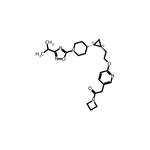 CC(C)c1noc(N2CCC([C@@H]3C[C@H]3CCOc3ccc(CC(=O)N4CCC4)cn3)CC2)n1